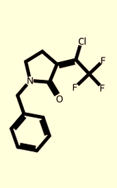 O=C1/C(=C(/Cl)C(F)(F)F)CCN1Cc1ccccc1